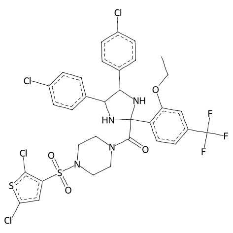 CCOc1cc(C(F)(F)F)ccc1C1(C(=O)N2CCN(S(=O)(=O)c3cc(Cl)sc3Cl)CC2)NC(c2ccc(Cl)cc2)C(c2ccc(Cl)cc2)N1